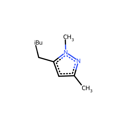 CCC(C)Cc1cc(C)nn1C